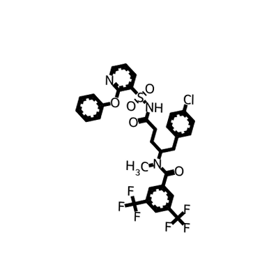 CN(C(=O)c1cc(C(F)(F)F)cc(C(F)(F)F)c1)C(CCC(=O)NS(=O)(=O)c1cccnc1Oc1ccccc1)Cc1ccc(Cl)cc1